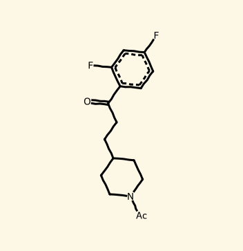 CC(=O)N1CCC(CCC(=O)c2ccc(F)cc2F)CC1